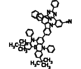 CC(C)(C)c1ccc2c(c1)N(c1ccccc1)c1cc(-c3ccc4c(c3)c3cc(-c5ccccc5)ccc3n4-c3ccc(C#N)cc3-c3nc(-c4ccccc4)nc(-c4ccccc4)n3)cc3c1B2c1ccc(C(C)(C)C)cc1N3c1ccccc1